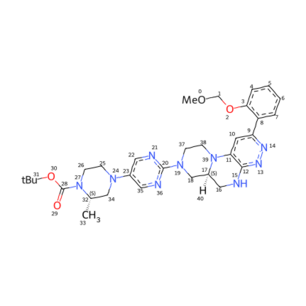 COCOc1ccccc1-c1cc2c(nn1)NC[C@H]1CN(c3ncc(N4CCN(C(=O)OC(C)(C)C)[C@@H](C)C4)cn3)CCN21